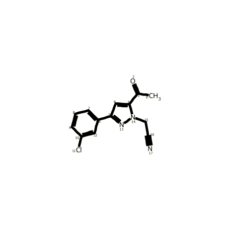 CC(=O)c1cc(-c2cccc(Cl)c2)nn1CC#N